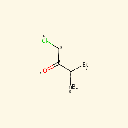 CCCCC(CC)C(=O)CCl